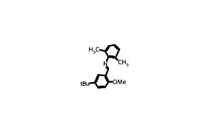 COc1ccc(C(C)(C)C)cc1C=Nc1c(C)cccc1C